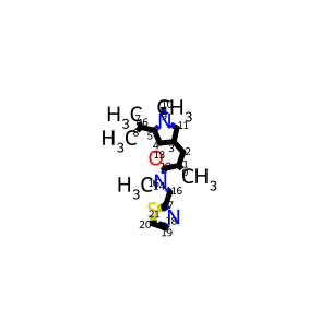 CC(CC1CC(C(C)C)N(C)C1)C(=O)N(C)Cc1nccs1